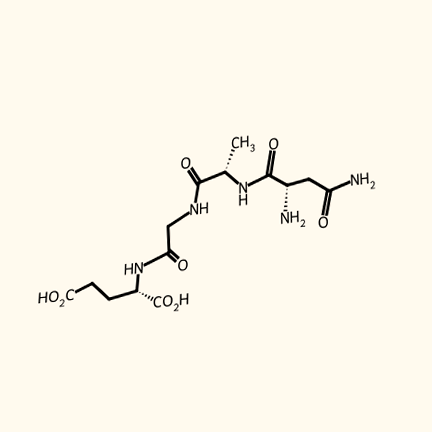 C[C@H](NC(=O)[C@@H](N)CC(N)=O)C(=O)NCC(=O)N[C@@H](CCC(=O)O)C(=O)O